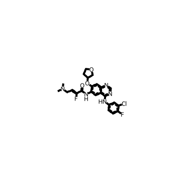 CN(C)CC=C(F)C(=O)Nc1cc2c(Nc3ccc(F)c(Cl)c3)ncnc2cc1OC1CCOC1